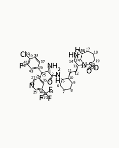 NC(C(=O)N[C@H]1CCCC[C@@H]1CC[C@H]1CN[C@@H]2CCCS(=O)(=O)N1C2)C(c1cncc(C(F)(F)F)c1)c1ccc(Cl)c(F)c1